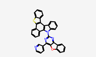 c1cncc(-c2nc(-n3c4ccccc4c4c5c6ccccc6sc5c5ccccc5c43)nc3c2oc2ccccc23)c1